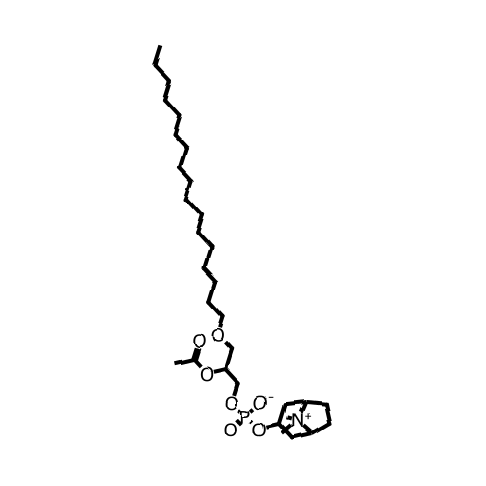 CCCCCCCCCCCCCCCCCOCC(COP(=O)([O-])OC1CC2CCC(C1)[N+]2(C)C)OC(C)=O